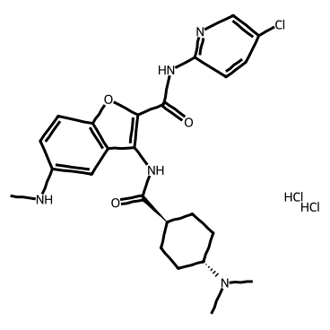 CNc1ccc2oc(C(=O)Nc3ccc(Cl)cn3)c(NC(=O)[C@H]3CC[C@H](N(C)C)CC3)c2c1.Cl.Cl